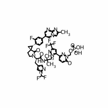 Cc1cn2cc(-c3ccc([C@H]4C[C@@]45CCN([C@H](Cc4cnn(C(F)F)c4)C(=O)NC(C)(C)Cn4nc(C(F)(F)F)cc4-c4ccc(=O)n(COP(=O)(O)O)n4)C5=O)c(F)c3)cnc2n1